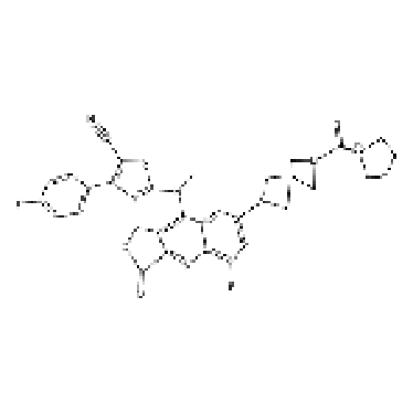 CN(c1nc(-c2ccc(F)cc2)c(C#N)s1)c1c2c(nc3c(F)cc(N4CC5(CN(C(=O)[C@H]6CCOC6)C5)C4)cc13)C(=O)OC2